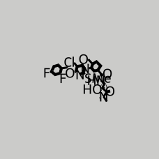 CSc1nc(OCc2ccc(F)cc2F)c(Cl)c(=O)n1-c1cc(C(=O)NC[C@H](O)C(=O)N(C)C)ccc1C